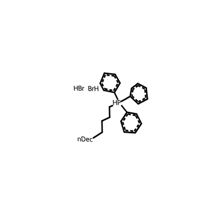 Br.Br.CCCCCCCCCCCCCC[PH](c1ccccc1)(c1ccccc1)c1ccccc1